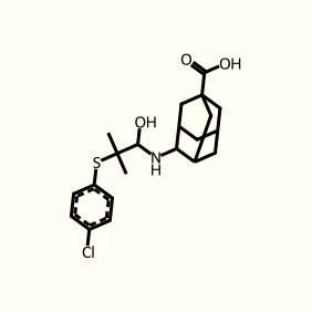 CC(C)(Sc1ccc(Cl)cc1)C(O)NC1C2CC3CC1CC(C(=O)O)(C3)C2